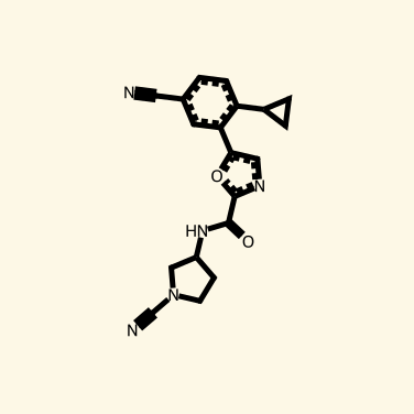 N#Cc1ccc(C2CC2)c(-c2cnc(C(=O)NC3CCN(C#N)C3)o2)c1